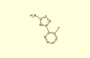 Nc1nc(-c2ncccc2F)ns1